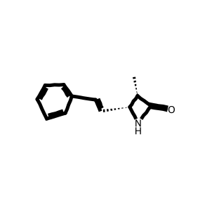 C[C@@H]1C(=O)N[C@@H]1C=Cc1ccccc1